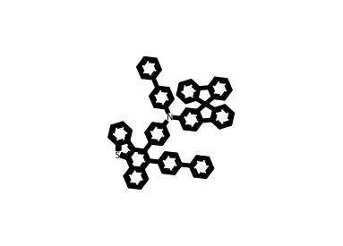 c1ccc(-c2ccc(-c3c(-c4ccc(N(c5ccc(-c6ccccc6)cc5)c5ccc6c(c5)C5(c7ccccc7-c7ccccc75)c5ccccc5-6)cc4)c4c5ccccc5sc4c4ccccc34)cc2)cc1